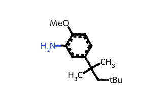 COc1ccc(C(C)(C)CC(C)(C)C)cc1N